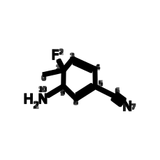 CC1(F)C=CC(C#N)=CC1N